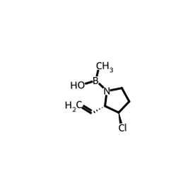 C=C[C@H]1[C@H](Cl)CCN1B(C)O